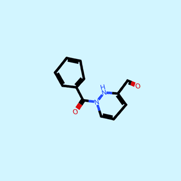 O=CC1=CC=CN(C(=O)c2ccccc2)N1